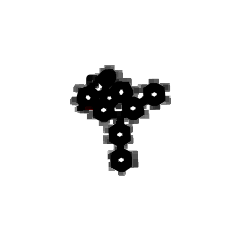 c1ccc(-c2ccc(N(c3ccc(-c4ccccc4)cc3)c3cccc4c3-c3ccccc3C43c4ccccc4Oc4ccc5ccccc5c43)cc2)cc1